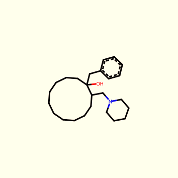 OC1(Cc2ccccc2)CCCCCCCCCCC1CN1CCCCC1